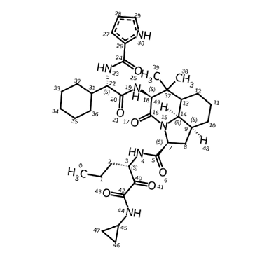 CCC[C@H](NC(=O)[C@@H]1C[C@@H]2CCCC3[C@@H]2N1C(=O)[C@@H](NC(=O)[C@@H](NC(=O)c1ccc[nH]1)C1CCCCC1)C3(C)C)C(=O)C(=O)NC1CC1